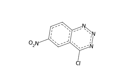 O=[N+]([O-])c1ccc2nnnc(Cl)c2c1